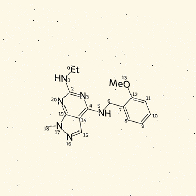 CCNc1nc(NCc2ccccc2OC)c2cnn(C)c2n1